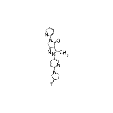 Cc1c2c(nn1-c1ccc(N3CC[C@@H](F)C3)nc1)CN(c1ccccn1)C2=O